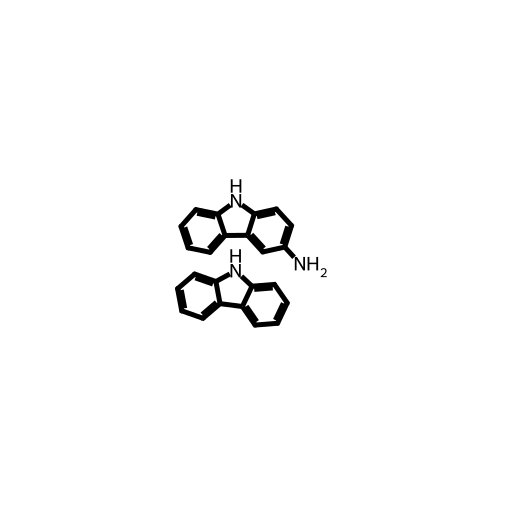 Nc1ccc2[nH]c3ccccc3c2c1.c1ccc2c(c1)[nH]c1ccccc12